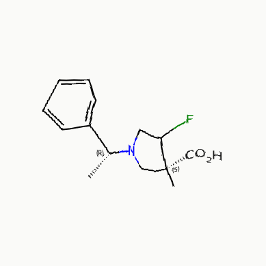 C[C@H](c1ccccc1)N1CC(F)[C@](C)(C(=O)O)C1